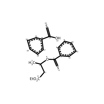 CCOC(=O)CC(C)OC(=S)c1ccccc1.OC(=S)c1ccccc1